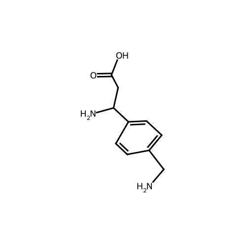 NCc1ccc(C(N)CC(=O)O)cc1